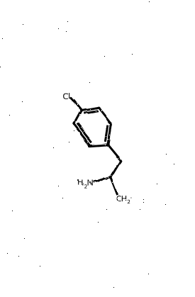 [CH2]C(N)Cc1ccc(Cl)cc1